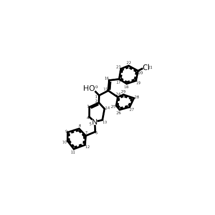 OC(C1=CCN(Cc2ccccc2)CC1)/C(=C/c1ccc(Cl)cc1)c1ccccc1